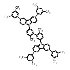 FC(F)(F)c1cc(-c2ccc3c(c2)c2cc(-c4cc(C(F)(F)F)cc(C(F)(F)F)c4)ccc2n3-c2ccc(C(F)(F)F)c(-c3cc(-n4c5ccc(-c6cc(C(F)(F)F)cc(C(F)(F)F)c6)cc5c5cc(-c6cc(C(F)(F)F)cc(C(F)(F)F)c6)ccc54)ccc3C(F)(F)F)c2)cc(C(F)(F)F)c1